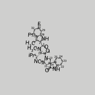 Cc1c(C(=O)N(C)[C@@H](CC(C)C)C(=O)N2C[C@]3(C[C@H]2C#N)C(=O)Nc2ccccc23)[nH]c2cc(F)cc(F)c12